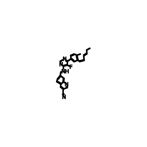 CC/C=C/C=C\c1cc(-c2ncnc(NCc3ccc4cc(C#N)cnc4c3)c2F)ccc1C